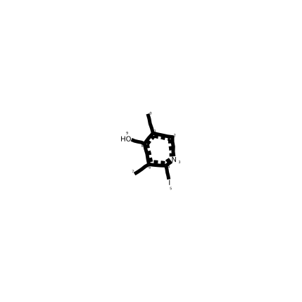 Cc1cnc(I)c(C)c1O